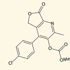 COC(=O)Oc1c(C)nc2c(c1-c1ccc(Cl)cc1)COC2=O